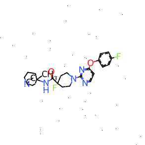 CC1(NC(=O)C2(F)CCN(c3nccc(Oc4ccc(F)cc4)n3)CC2)CCN2CCC1CC2